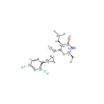 CC[C@H]1CN(C(=O)[C@@H]2C[C@H]2c2ccc(F)cc2F)[C@@H](CC(C)C)C(=O)N1